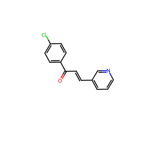 O=C(C=Cc1cccnc1)c1ccc(Cl)cc1